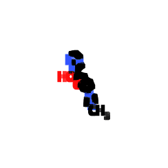 CN1CCN(c2ccc3c(c2)OC(O)C(c2cn4cccnc4n2)=C3)CC1